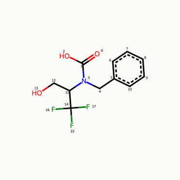 O=C(O)N(Cc1ccccc1)C(CO)C(F)(F)F